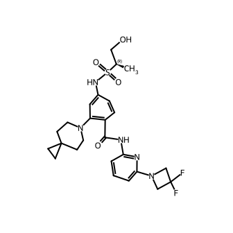 C[C@H](CO)S(=O)(=O)Nc1ccc(C(=O)Nc2cccc(N3CC(F)(F)C3)n2)c(N2CCC3(CC2)CC3)c1